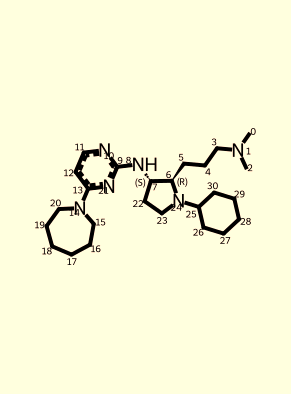 CN(C)CCC[C@@H]1[C@@H](Nc2nccc(N3CCCCCC3)n2)CCN1C1CCCCC1